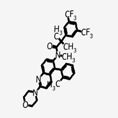 Cc1ccccc1-c1c(N(C)C(=O)C(C)(C)c2cc(C(F)(F)F)cc(C(F)(F)F)c2)ccc2nc(N3CCOCC3)ccc12